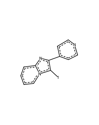 Ic1c(-c2ccncc2)nc2ccccn12